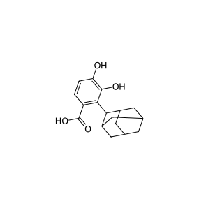 O=C(O)c1ccc(O)c(O)c1C1C2CC3CC(C2)CC1C3